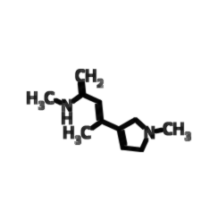 C=C(/C=C(\C)C1=CCN(C)C1)NC